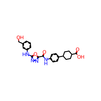 O=C(Nc1ccc(C2CCC(C(=O)O)CC2)cc1)c1nnc(Nc2cccc(CO)c2)o1